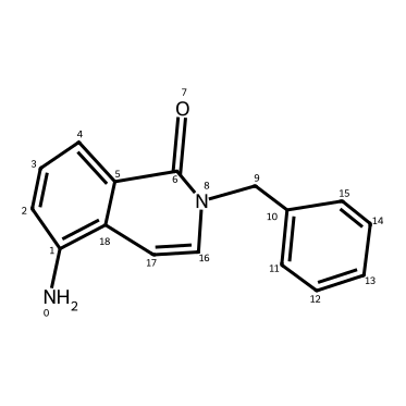 Nc1cccc2c(=O)n(Cc3ccccc3)ccc12